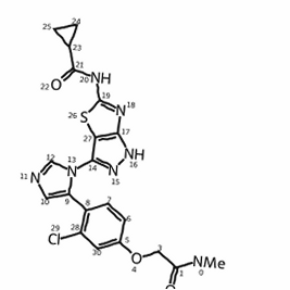 CNC(=O)COc1ccc(-c2cncn2-c2n[nH]c3nc(NC(=O)C4CC4)sc23)c(Cl)c1